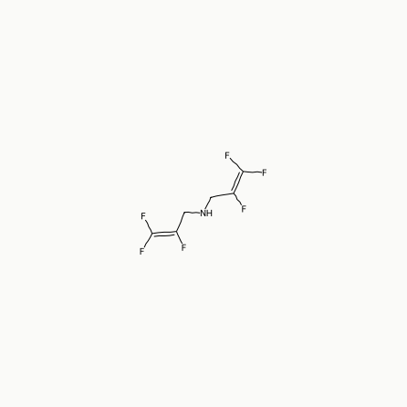 FC(F)=C(F)CNCC(F)=C(F)F